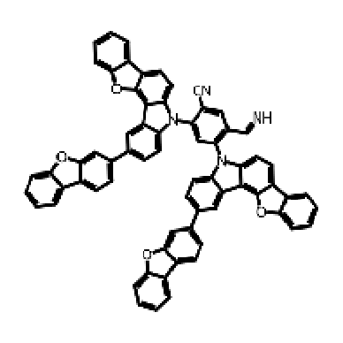 N#Cc1cc(C=N)c(-n2c3ccc(-c4ccc5c(c4)oc4ccccc45)cc3c3c4oc5ccccc5c4ccc32)cc1-n1c2ccc(-c3ccc4c(c3)oc3ccccc34)cc2c2c3oc4ccccc4c3ccc21